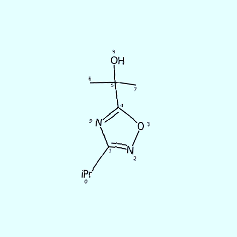 CC(C)c1noc(C(C)(C)O)n1